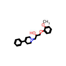 COc1ccccc1OCC(O)CN1CC=C(c2ccccc2)CC1